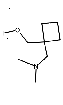 CN(C)CC1(COI)CCC1